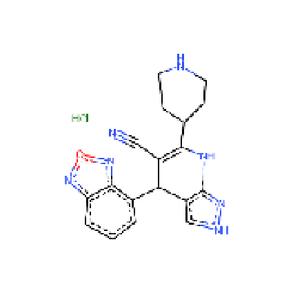 Cl.N#CC1=C(C2CCNCC2)Nc2n[nH]cc2C1c1cccc2nonc12